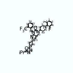 Cc1cccc(F)c1N1CCC(N2Cc3cn(C4CN(c5nnc(C(C)C)o5)C4)nc3N(Cc3ccccc3C(F)(F)F)C2=O)CC1